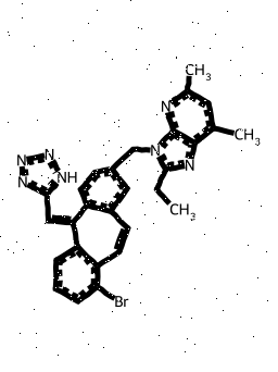 CCc1nc2c(C)cc(C)nc2n1Cc1ccc2c(c1)C=Cc1c(Br)cccc1C2=Cc1nnn[nH]1